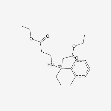 CCOC(=O)CCN[C@]1(CC(=O)OCC)CCCc2ccccc21